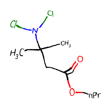 CCCOC(=O)CC(C)(C)N(Cl)Cl